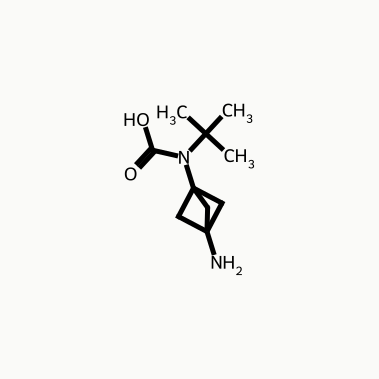 CC(C)(C)N(C(=O)O)C12CC(N)(C1)C2